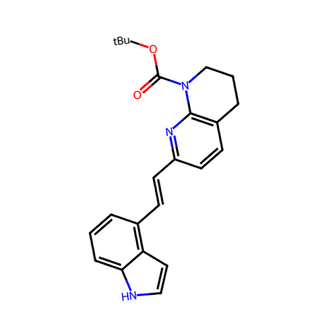 CC(C)(C)OC(=O)N1CCCc2ccc(/C=C/c3cccc4[nH]ccc34)nc21